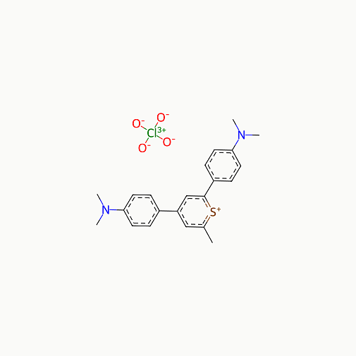 Cc1cc(-c2ccc(N(C)C)cc2)cc(-c2ccc(N(C)C)cc2)[s+]1.[O-][Cl+3]([O-])([O-])[O-]